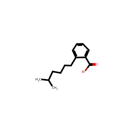 CC(C)CCCCc1ccccc1C(=O)Br